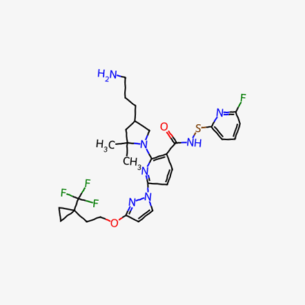 CC1(C)CC(CCCN)CN1c1nc(-n2ccc(OCCC3(C(F)(F)F)CC3)n2)ccc1C(=O)NSc1cccc(F)n1